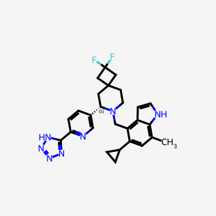 Cc1cc(C2CC2)c(CN2CCC3(C[C@H]2c2ccc(-c4nnn[nH]4)nc2)CC(F)(F)C3)c2cc[nH]c12